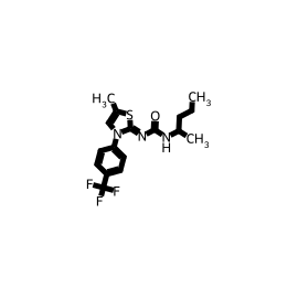 CCCC(C)NC(=O)N=c1sc(C)cn1-c1ccc(C(F)(F)F)cc1